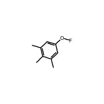 Cc1cc(OF)cc(C)c1C